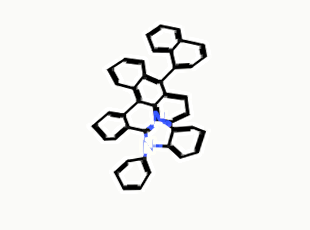 c1ccc(-n2c(-c3ccccc3-c3c4ccccc4c(-c4cccc5ccccc45)c4ccccc34)nc3ccccc32)cc1